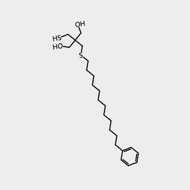 OCC(CO)(CS)CSCCCCCCCCCCCCc1ccccc1